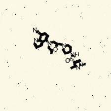 Cc1nn(C)cc1[S+]([O-])NC1CCN(CC2CN(c3ccc(C#N)c4ncccc34)CC(C)O2)CC1